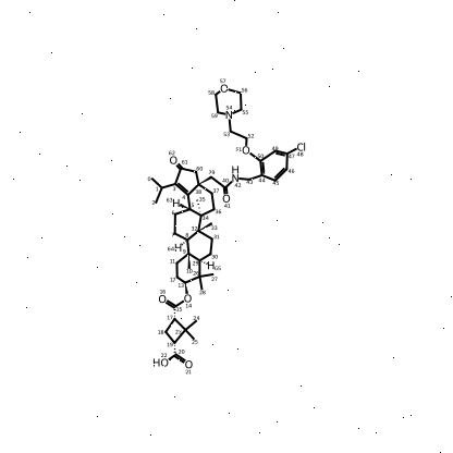 CC(C)C1=C2[C@H]3CC[C@@H]4[C@@]5(C)CC[C@H](OC(=O)[C@H]6C[C@@H](C(=O)O)C6(C)C)C(C)(C)[C@@H]5CC[C@@]4(C)[C@]3(C)CC[C@@]2(CC(=O)NCc2ccc(Cl)cc2OCCN2CCOCC2)CC1=O